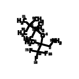 CC(CN)(O[Si](C)(C)C(C)(C)C)C(F)(F)F